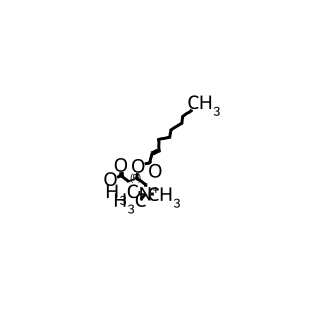 CCCCCCCC=CC(=O)O[C@H](CC(=O)[O-])C[N+](C)(C)C